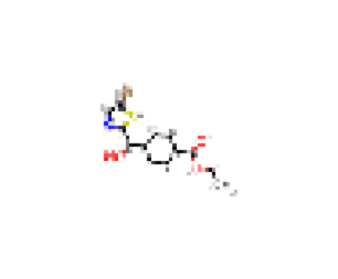 CCOC(=O)C1CCC(C(O)c2ncc(Br)s2)CC1